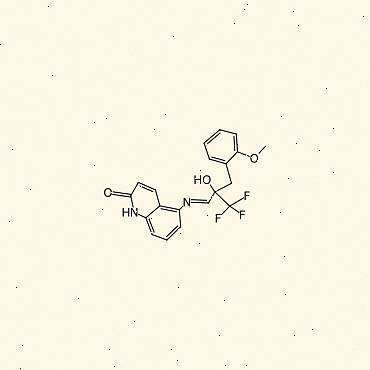 COc1ccccc1CC(O)(C=Nc1cccc2[nH]c(=O)ccc12)C(F)(F)F